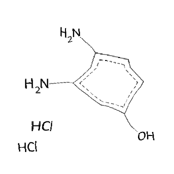 Cl.Cl.Nc1ccc(O)cc1N